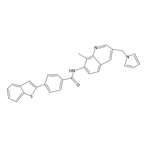 Cc1c(NC(=O)c2ccc(-c3cc4ccccc4s3)cc2)ccc2cc(Cn3cccc3)cnc12